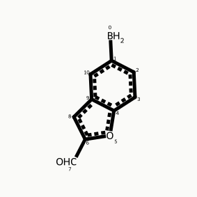 Bc1ccc2oc(C=O)cc2c1